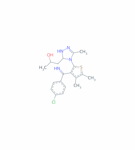 CC1=NNC(CC(C)O)N1c1sc(C)c(C)c1C(=N)c1ccc(Cl)cc1